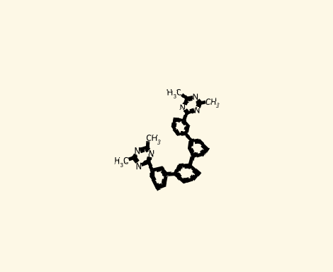 Cc1nc(C)nc(-c2cccc(-c3cccc(-c4cccc(-c5cccc(-c6nc(C)nc(C)n6)c5)c4)c3)c2)n1